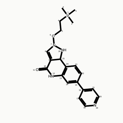 C[Si](C)(C)CCON1C=C2C(=O)Nc3cc(-c4ccncc4)ccc3C2N1